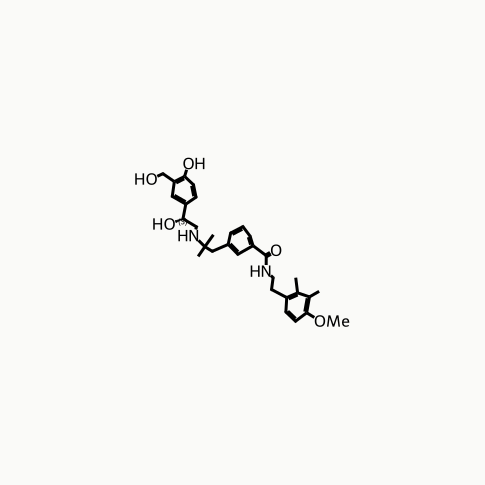 COc1ccc(CCNC(=O)c2cccc(CC(C)(C)NC[C@@H](O)c3ccc(O)c(CO)c3)c2)c(C)c1C